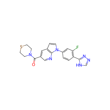 O=C(c1cnc2c(ccn2-c2ccc(-c3nnc[nH]3)c(F)c2)c1)N1CCSCC1